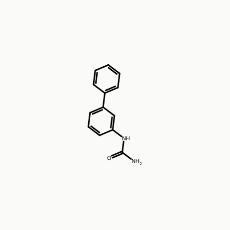 NC(=O)Nc1cccc(-c2ccccc2)c1